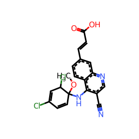 COC1(Nc2c(C#N)cnc3cc(C=CC(=O)O)ccc23)C=CC(Cl)=CC1Cl